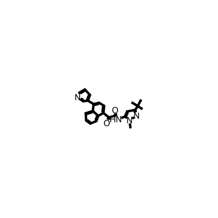 Cn1nc(C(C)(C)C)cc1NC(=O)C(=O)c1ccc(-c2cccnc2)c2ccccc12